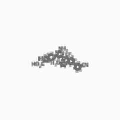 Cc1ccn(-c2cc(-c3cccc(C#N)c3)ccc2[C@@H](Oc2cc(N3CCC4(CC3)CNC(C(=O)O)C4)nc(N)n2)C(F)(F)F)n1